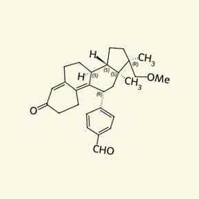 COC[C@]1(C)CC[C@H]2[C@@H]3CCC4=CC(=O)CCC4=C3[C@@H](c3ccc(C=O)cc3)C[C@@]21C